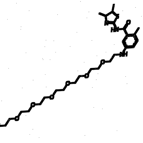 Cc1ccc(NCCOCCOCCOCCOCCOCCOCCN)cc1C(=O)NC1=NC(C)C(C)S1